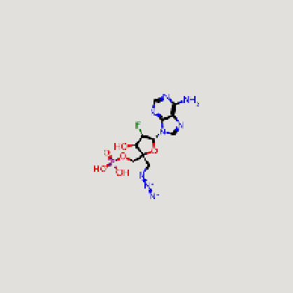 [N-]=[N+]=NC[C@]1(COP(=O)(O)O)O[C@@H](n2cnc3c(N)ncnc32)[C@H](F)[C@@H]1O